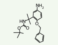 CC(C)(C)OC(=O)NC(C)(C)c1cc(N)ccc1OCc1ccccc1